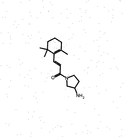 CC1=C(/C=C/C(=O)N2CCC(N)C2)C(C)(C)CCC1